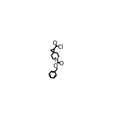 O=C(Cl)C1CC12CCN(C(=O)OCc1ccccc1)CC2